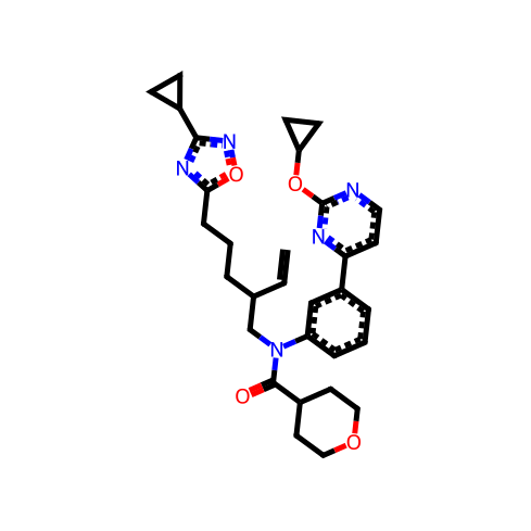 C=CC(CCCc1nc(C2CC2)no1)CN(C(=O)C1CCOCC1)c1cccc(-c2ccnc(OC3CC3)n2)c1